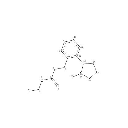 CCOC(=O)CCc1ccncc1C1CCCN1C